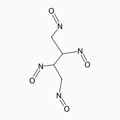 O=NCC(N=O)C(CN=O)N=O